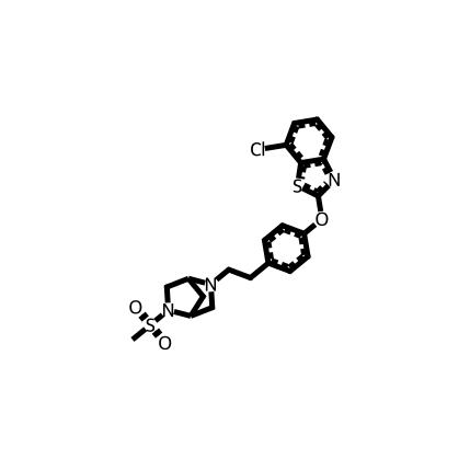 CS(=O)(=O)N1CC2CC1CN2CCc1ccc(Oc2nc3cccc(Cl)c3s2)cc1